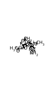 COCn1c(=O)n([C@@H]2O[C@H](COC(C)=O)[C@@H](F)[C@H]2OC(C)=O)c2nc(N)ncc21